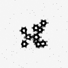 c1ccc(C2=N[C@@H](c3ccccc3)CC(c3cc(-c4ccc(-c5ccccc5)c5ccccc45)cc4c3oc3ccc5ccccc5c34)=N2)cc1